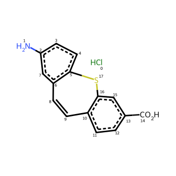 Cl.Nc1ccc2c(c1)C=Cc1ccc(C(=O)O)cc1S2